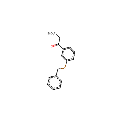 CCOC(=O)CC(=O)c1cccc(SCc2ccccc2)c1